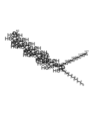 CCCCCCCCCCCCC/C=C/[C@@H](O)[C@H](CO[C@@H]1OC(CO)[C@@H](O[C@@H]2OC(CO)[C@H](O[C@@H]3OC(CO)[C@H](O)[C@H](O[C@H]4OC(CO)[C@H](O)[C@H](O[C@H]5OC(CO)[C@H](O)[C@H](O[C@H]6OC(CO)[C@H](O)[C@H](O[C@@H]7OC(CO)[C@H](O)[C@H](O)C7NC(C)=O)C6O)C5O)C4O)C3O)[C@H](O)C2O)[C@H](O)C1O)NC(=O)CCCCCCCCCCCCCCC